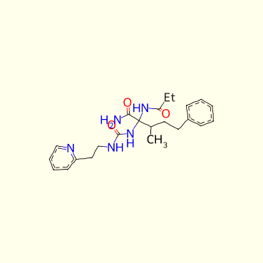 CCC(=O)NC(NC(=O)NCCc1ccccn1)(C(N)=O)C(C)CCc1ccccc1